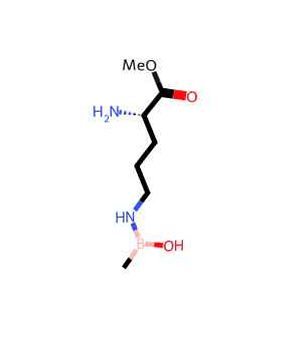 COC(=O)[C@@H](N)CCCNB(C)O